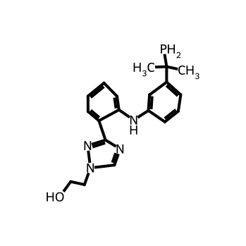 CC(C)(P)c1cccc(Nc2ccccc2-c2ncn(CCO)n2)c1